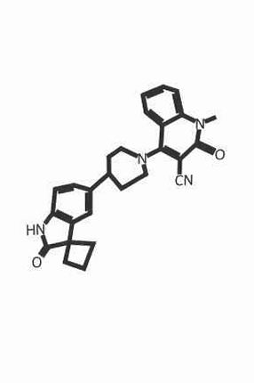 Cn1c(=O)c(C#N)c(N2CCC(c3ccc4c(c3)C3(CCC3)C(=O)N4)CC2)c2ccccc21